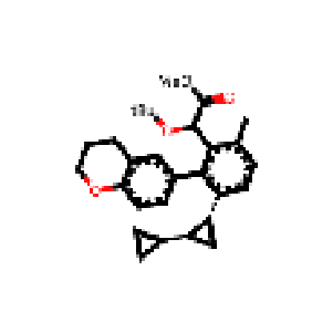 COC(=O)C(OC(C)(C)C)c1c(C)ccc([C@@H]2C[C@H]2C2CC2)c1-c1ccc2c(c1)CCCO2